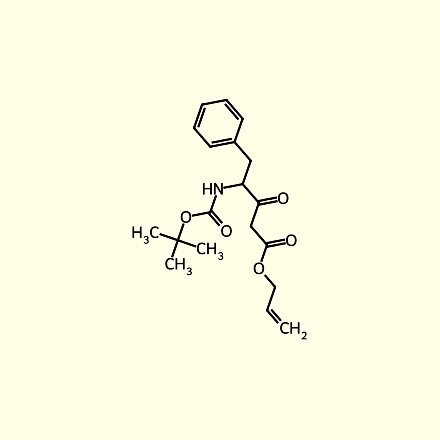 C=CCOC(=O)CC(=O)C(Cc1ccccc1)NC(=O)OC(C)(C)C